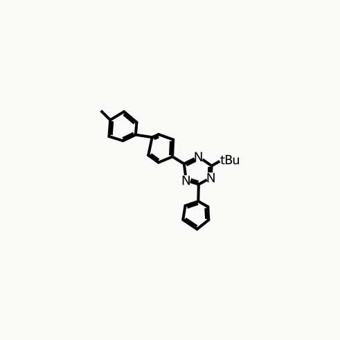 Cc1ccc(-c2ccc(-c3nc(-c4ccccc4)nc(C(C)(C)C)n3)cc2)cc1